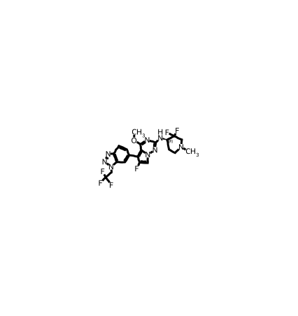 COc1nc(N[C@@H]2CCN(C)CC2(F)F)nn2cc(F)c(-c3ccc4nnn(CC(F)(F)F)c4c3)c12